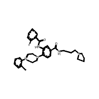 Cc1ccccc1N1CCN(c2ccc(C(=O)NCCCN3CCCC3)cc2NC(=O)c2ccccc2F)CC1